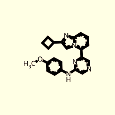 COc1ccc(Nc2cncc(-c3cccc4nc(C5CCC5)cn34)n2)cc1